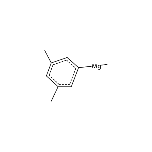 [CH3][Mg][c]1cc(C)cc(C)c1